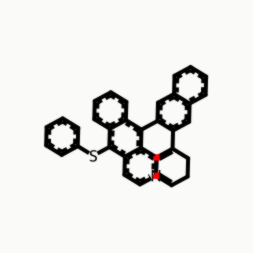 C1=CCCC(c2cc3ccccc3cc2-c2c3ccccc3c(Sc3ccccc3)c3ccncc23)=C1